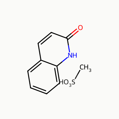 CS(=O)(=O)O.O=c1ccc2ccccc2[nH]1